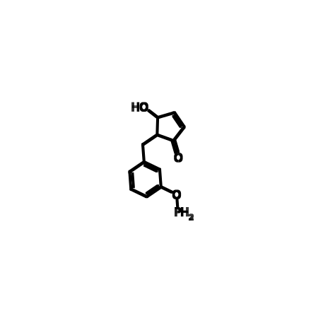 O=C1C=CC(O)C1Cc1cccc(OP)c1